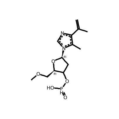 C=C(C)c1ncn([C@H]2CC(O[PH](=O)O)[C@@H](COC)O2)c1C